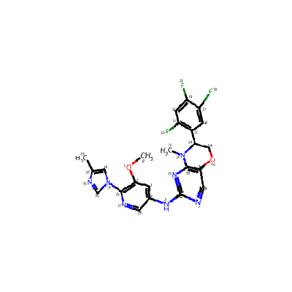 COc1cc(Nc2ncc3c(n2)N(C)C(c2cc(F)c(F)cc2F)CO3)cnc1-n1cnc(C)c1